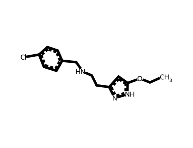 CCOc1cc(CCNCc2ccc(Cl)cc2)n[nH]1